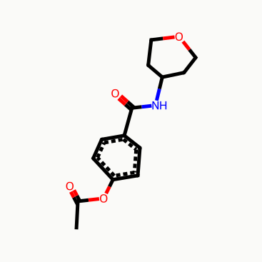 CC(=O)Oc1ccc(C(=O)NC2CCOCC2)cc1